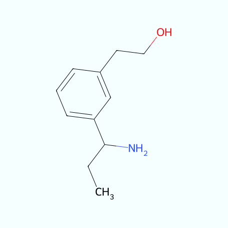 CCC(N)c1cccc(CCO)c1